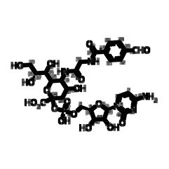 Nc1ccn([C@@H]2O[C@H](COP(=O)(O)OC3(C(=O)O)CC(O)C(NC(=O)CNC(=O)c4ccc(C=O)cc4)C(C(O)[C@H](O)CO)O3)C(O)C2O)c(=O)n1